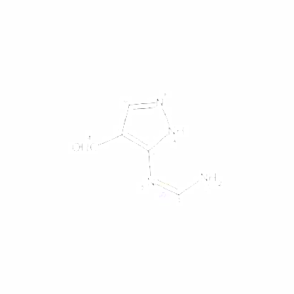 N/C=N\c1[nH]ncc1C=O